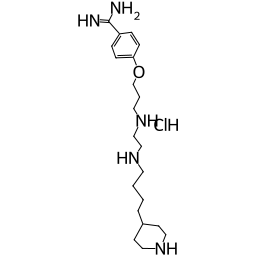 Cl.N=C(N)c1ccc(OCCCNCCNCCCCC2CCNCC2)cc1